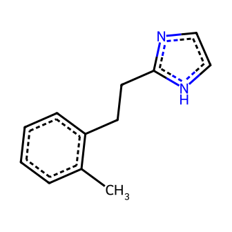 Cc1ccccc1CCc1ncc[nH]1